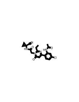 CCc1nc(-c2ccc(Cl)cc2NC(C)=O)cc(=O)n1CC(=O)NC1(C#N)CC1